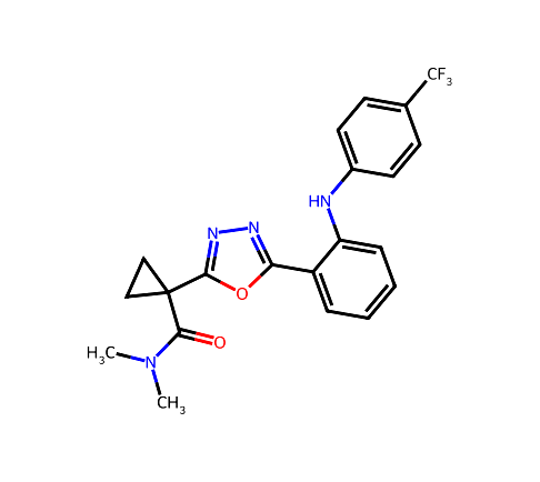 CN(C)C(=O)C1(c2nnc(-c3ccccc3Nc3ccc(C(F)(F)F)cc3)o2)CC1